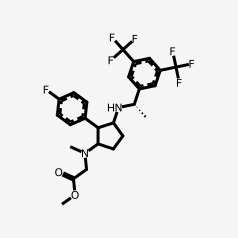 COC(=O)CN(C)C1CCC(N[C@@H](C)c2cc(C(F)(F)F)cc(C(F)(F)F)c2)C1c1ccc(F)cc1